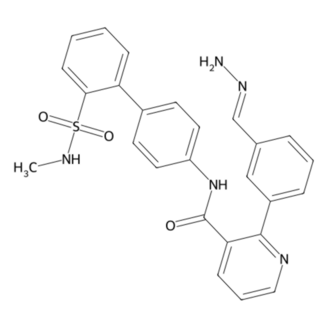 CNS(=O)(=O)c1ccccc1-c1ccc(NC(=O)c2cccnc2-c2cccc(C=NN)c2)cc1